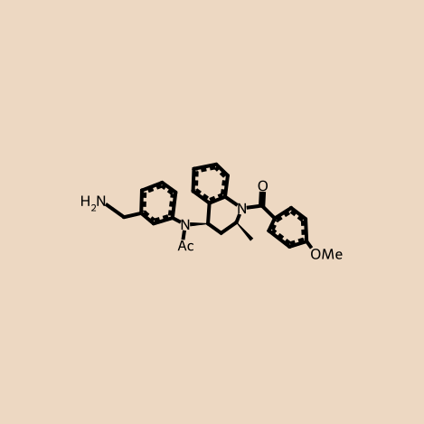 COc1ccc(C(=O)N2c3ccccc3[C@H](N(C(C)=O)c3cccc(CN)c3)C[C@@H]2C)cc1